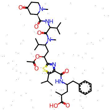 CC(=O)OC(CC(C(C)C)N(C)C(=O)C(NC(=O)[C@H]1CC(=O)CCN1C)C(C)C)c1nc(C(=O)NC(Cc2ccccc2)CC(C)C(=O)O)c(C(C)C)s1